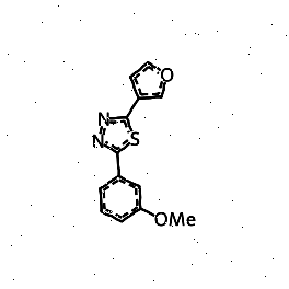 COc1cccc(-c2nnc(-c3ccoc3)s2)c1